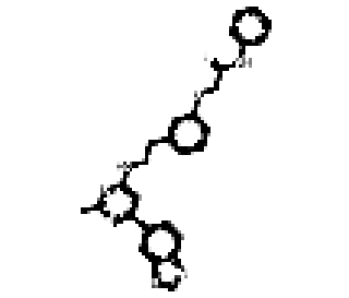 Cc1nc(NCCc2cccc(OCC(=O)Nc3ccccc3)c2)cc(-c2ccc3ncsc3c2)n1